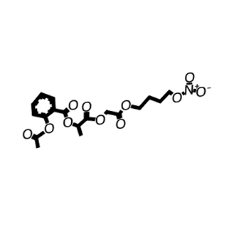 CC(=O)Oc1ccccc1C(=O)OC(C)C(=O)OCC(=O)OCCCCO[N+](=O)[O-]